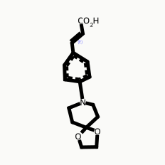 O=C(O)/C=C/c1ccc(N2CCC3(CC2)OCCO3)cc1